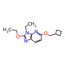 CCOc1nc2ccc(OCC3CCC3)nc2n1CC